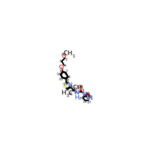 COCCCOc1ccc(-c2nc(C(C)(C)NC(=O)N3CCN4CCC3CC4)cs2)cc1